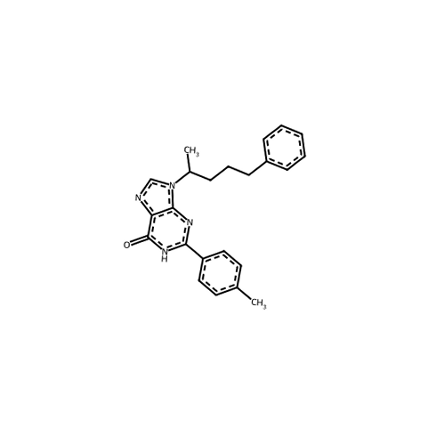 Cc1ccc(-c2nc3c(ncn3C(C)CCCc3ccccc3)c(=O)[nH]2)cc1